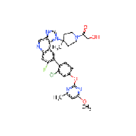 COc1cc(C)nc(Oc2ccc(-c3cc4c(cc3F)ncc3ncn(C5(C)CCN(C(=O)CO)CC5)c34)c(Cl)c2)n1